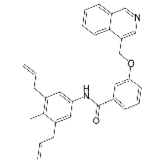 C=CCc1cc(NC(=O)c2cccc(OCc3cncc4ccccc34)c2)cc(CC=C)c1C